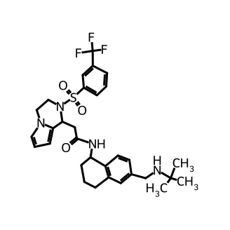 CC(C)(C)NCc1ccc2c(c1)CCCC2NC(=O)CC1c2cccn2CCN1S(=O)(=O)c1cccc(C(F)(F)F)c1